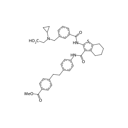 COC(=O)c1ccc(CCc2ccc(NC(=O)c3c(NC(=O)c4cccc(CN(CC(=O)O)C5CC5)c4)sc4c3CCCC4)cc2)cc1